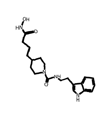 O=C(CCCC1CCN(C(=O)NCCc2c[nH]c3ccccc23)CC1)NO